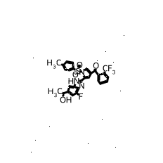 Cc1ccc(S(=O)(=O)n2cc(C(=O)c3ccccc3C(F)(F)F)cc2-c2nc3c(F)cc(C(C)O)cc3[nH]2)cc1